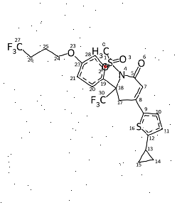 CS(=O)(=O)N1C(=O)C=C(c2ccc(C3CC3)s2)CC1(c1ccc(OCCCC(F)(F)F)cc1)C(F)(F)F